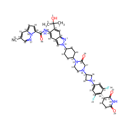 CC(C)(O)c1cc2nn(C3CCC(N4CCN(C5CN(c6cc(F)c([C@H]7CCC(=O)NC7=O)c(F)c6)C5)CC4=O)CC3)cc2cc1NC(=O)c1ccc2cc(C#N)cnn12